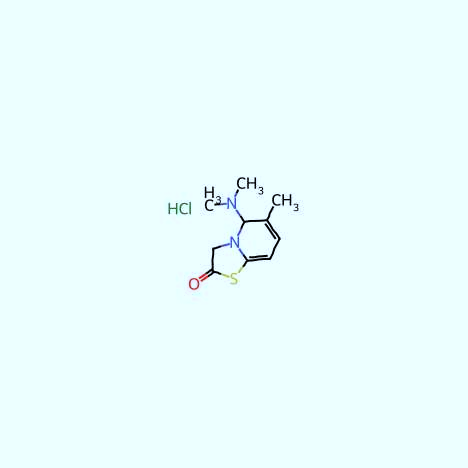 CC1=CC=C2SC(=O)CN2C1N(C)C.Cl